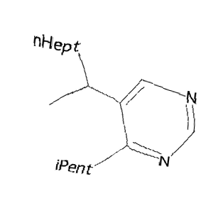 CCCCCCCC(C)c1cncnc1C(C)CCC